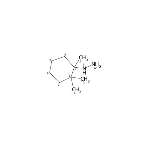 CC1(C)CCCCC1(C)NN